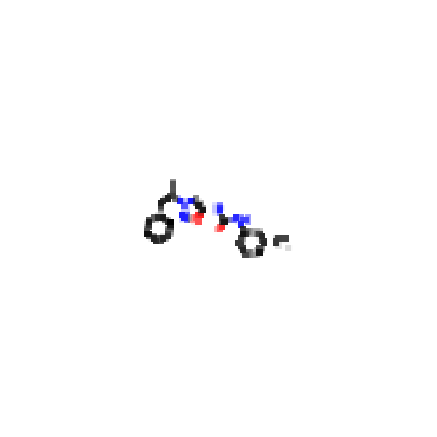 C[C@H](Cc1ccccc1)[n+]1cc([N-]C(=O)Nc2cccc(C(F)(F)F)c2)on1